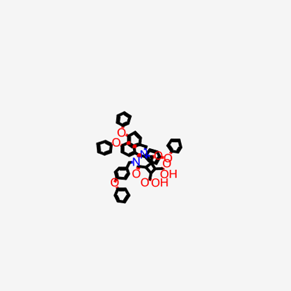 O=C(O)C1C(C(=O)O)C(C(=O)N(Cc2ccc(Oc3ccccc3)cc2)Cc2ccc(Oc3ccccc3)cc2)C1C(=O)N(Cc1ccc(Oc2ccccc2)cc1)Cc1ccc(Oc2ccccc2)cc1